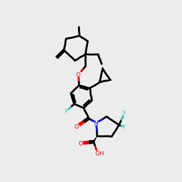 C=C1CC(C)CC(CC)(COc2cc(F)c(C(=O)N3CC(F)(F)C[C@H]3C(=O)O)cc2C2CC2)C1